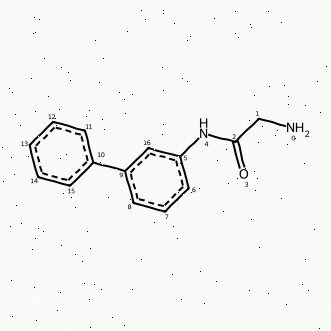 NCC(=O)Nc1cccc(-c2ccccc2)c1